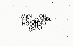 CCCCc1c(O)c2cccnc2n(-c2ccccc2)c1=O.CNC[C@H](O)[C@@H](O)[C@H](O)[C@H](O)CO